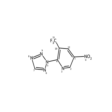 O=[N+]([O-])c1cnc(-n2ncnn2)c(C(F)(F)F)c1